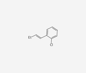 CCC=Cc1ccccc1Cl